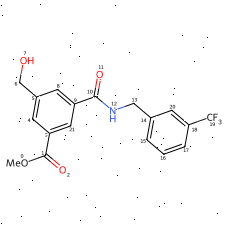 COC(=O)c1cc(CO)cc(C(=O)NCc2cccc(C(F)(F)F)c2)c1